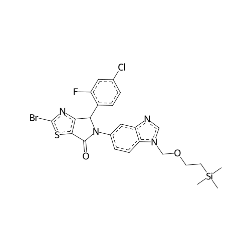 C[Si](C)(C)CCOCn1cnc2cc(N3C(=O)c4sc(Br)nc4C3c3ccc(Cl)cc3F)ccc21